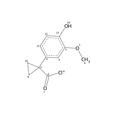 COc1cc(C2(C(=O)Cl)CC2)ccc1O